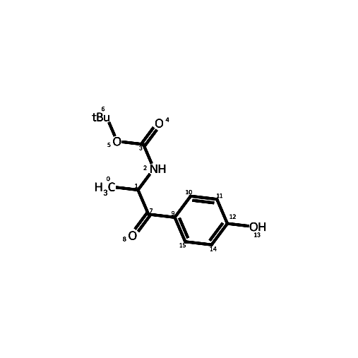 CC(NC(=O)OC(C)(C)C)C(=O)c1ccc(O)cc1